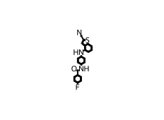 N#Cc1cc2c(Nc3ccc(NC(=O)c4ccc(F)cc4)cc3)cccc2s1